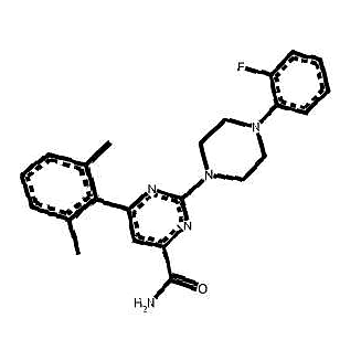 Cc1cccc(C)c1-c1cc(C(N)=O)nc(N2CCN(c3ccccc3F)CC2)n1